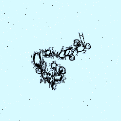 O=C1CCC(N2Cc3cc(N4CC5(CCN(Cc6cccc(S(=O)(=O)N7CCC(Nc8ncc9ccc(=O)n(C%10CCCC%10)c9n8)CC7)c6)CC5)C4)ccc3C2=O)C(=O)N1